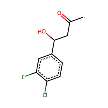 [CH2]C(=O)CC(O)c1ccc(Cl)c(F)c1